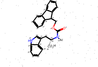 CC(=O)N(C(=O)OCC1c2ccccc2-c2ccccc21)[C@@H](Cc1c[nH]c2ccccc12)C(=O)O